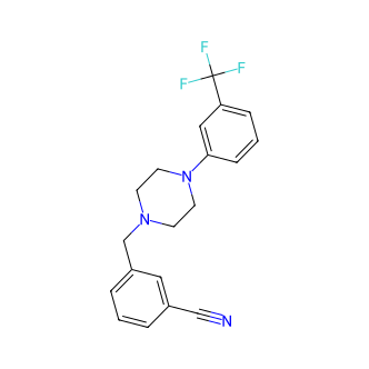 N#Cc1cccc(CN2CCN(c3cccc(C(F)(F)F)c3)CC2)c1